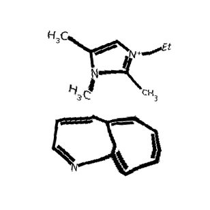 CC[n+]1cc(C)n(C)c1C.c1ccc2ncccc2c1